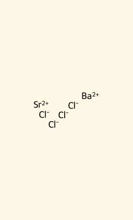 [Ba+2].[Cl-].[Cl-].[Cl-].[Cl-].[Sr+2]